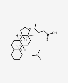 CC(CCC(=O)O)[C@H]1CC[C@H]2[C@@H]3CCC4CCCC[C@]4(C)[C@H]3CC[C@]12C.CN(C)C